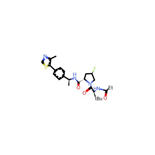 CCC(=O)N[C@H](C(=O)N1C[C@H](F)C[C@H]1C(=O)N[C@@H](C)c1ccc(-c2scnc2C)cc1)C(C)(C)C